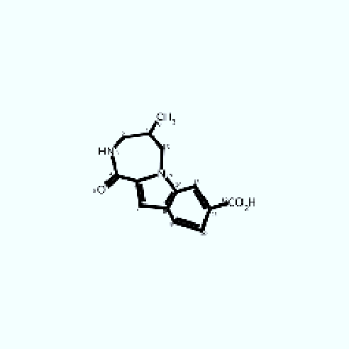 CC1CNC(=O)c2cc3ccc(C(=O)O)cc3n2C1